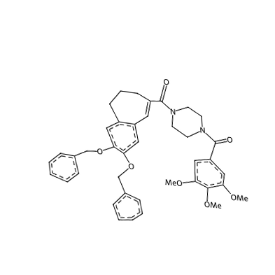 COc1cc(C(=O)N2CCN(C(=O)C3=Cc4cc(OCc5ccccc5)c(OCc5ccccc5)cc4CCC3)CC2)cc(OC)c1OC